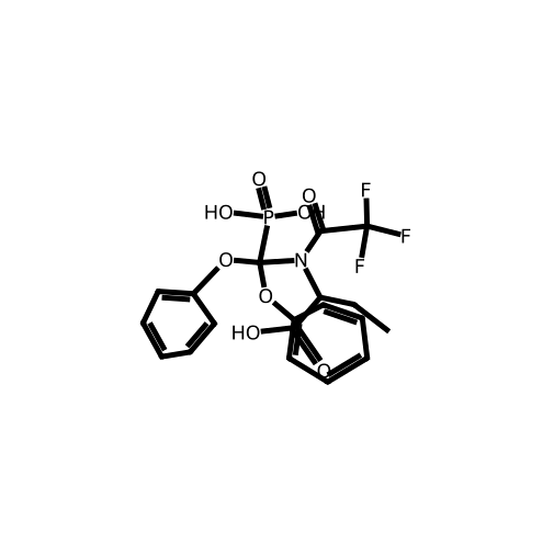 CCC(C(=O)O)N(C(=O)C(F)(F)F)C(Oc1ccccc1)(Oc1ccccc1)P(=O)(O)O